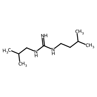 CC(C)CCNC(=N)NCC(C)C